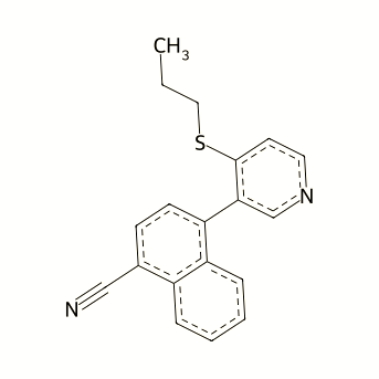 CCCSc1ccncc1-c1ccc(C#N)c2ccccc12